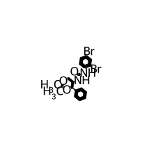 CC1(C)OC[C@H](NC(=O)Nc2ccc(Br)cc2Br)[C@@H](c2ccccc2)O1